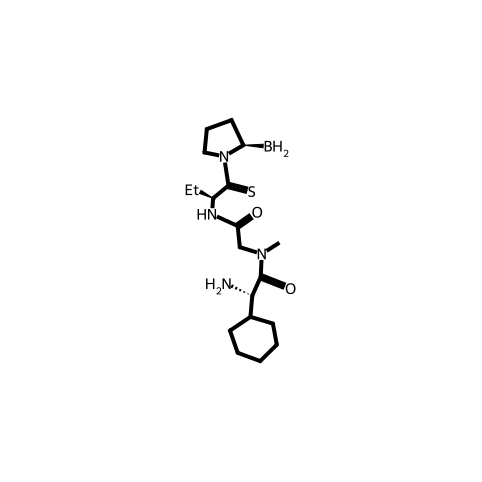 B[C@@H]1CCCN1C(=S)[C@H](CC)NC(=O)CN(C)C(=O)[C@@H](N)C1CCCCC1